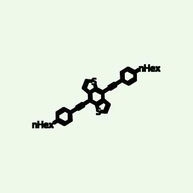 CCCCCCc1ccc(C#Cc2c3ccsc3c(C#Cc3ccc(CCCCCC)cc3)c3ccsc23)cc1